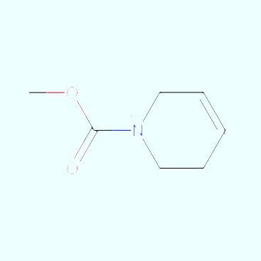 COC(=O)N1CC=[C]CC1